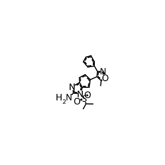 Cc1onc(-c2ccccc2)c1-c1ccc2nc(N)n(S(=O)(=O)C(C)C)c2c1